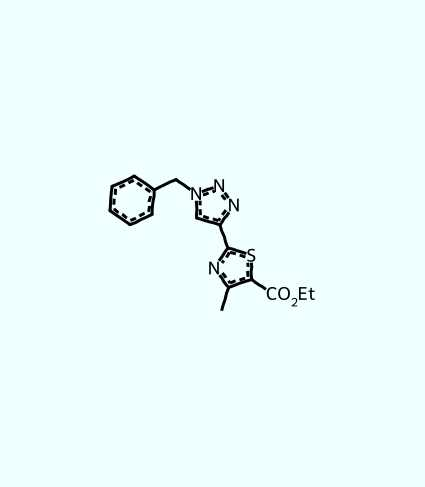 CCOC(=O)c1sc(-c2cn(Cc3ccccc3)nn2)nc1C